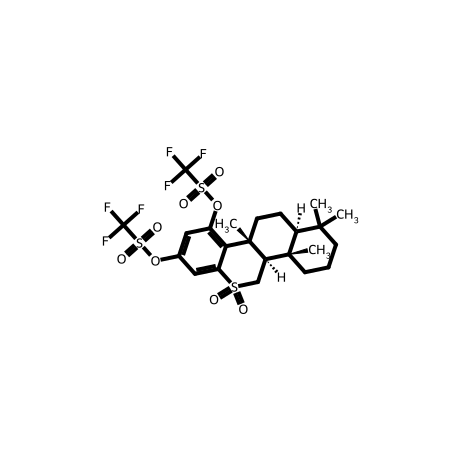 CC1(C)CCC[C@]2(C)[C@H]3CS(=O)(=O)c4cc(OS(=O)(=O)C(F)(F)F)cc(OS(=O)(=O)C(F)(F)F)c4[C@]3(C)CC[C@@H]12